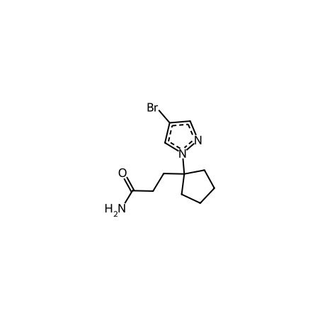 NC(=O)CCC1(n2cc(Br)cn2)CCCC1